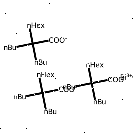 CCCCCCC(CCCC)(CCCC)C(=O)[O-].CCCCCCC(CCCC)(CCCC)C(=O)[O-].CCCCCCC(CCCC)(CCCC)C(=O)[O-].[Bi+3]